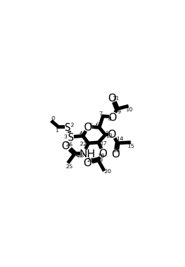 CCSSC1OC(COC(C)=O)C(OC(C)=O)C(OC(C)=O)C1NC(C)=O